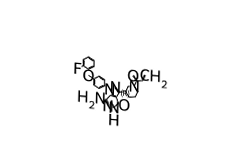 C=CC(=O)N1CCC[C@@H](c2nn(-c3ccc(Oc4ccccc4F)cc3)c3c(N)n[nH]c(=O)c23)C1